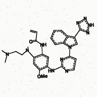 C=CC(=O)Nc1cc(Nc2nccc(-n3cc(-c4nn[nH]n4)c4ccccc43)n2)c(OC)cc1N(C)CCN(C)C